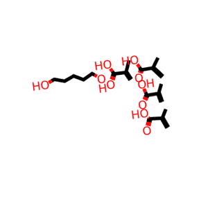 C=C(C)C(=O)O.C=C(C)C(=O)O.C=C(C)C(=O)O.C=C(C)C(=O)O.OCCCCCO